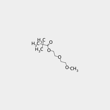 COCCOCCOC(=O)C(C)(C)C